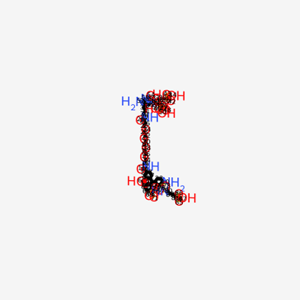 Nc1ccc2c(-c3ccc(C(=O)NCCOCCOCCOCCOCCC(=O)NCCCc4cn([C@@H]5O[C@H](COP(=O)(O)O)C(OP(=O)(O)O)[C@@H]5O)c(=O)nc4N)cc3C(=O)O)c3cccc(S(=O)(=O)[O-])c3[o+]c2c1S(=O)(=O)NCCCCS(=O)(=O)O